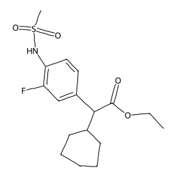 CCOC(=O)C(c1ccc(NS(C)(=O)=O)c(F)c1)C1CCCCC1